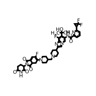 CC(C)(O)c1c(NC(=O)c2cccc(C3CC3(F)F)n2)cn2cc(C3CCN(CC4CCN(C5=C(F)C=C6C(=O)N(C7CCC(=O)NC7=O)C(=O)C6C5)CC4)CC3)nc2c1F